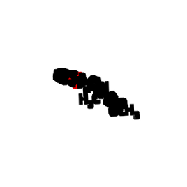 Cn1c(-c2ccc(S(C)(=O)=O)cc2)nc2ccc(C3CCN(C4CC5CCC(C4)N5C4CCOCC4)CC3)c(F)c21